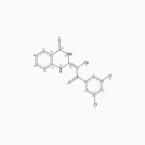 N#C/C(C(=O)c1cc(Cl)cc(Cl)c1)=C1\NC(=O)c2ccccc2N1